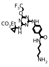 CCOC(=O)C1(Nc2nc(Nc3ccc(C(=O)NCCCCN)cc3)nc(OCC(F)(F)F)n2)CC1